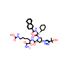 CC(C)(O)c1cn([C@H]2C[C@@H](C(=O)NC(CCCCNC(=O)O)C(=O)C(N)=O)N(C(=O)[C@@H](CC3CCCCC3)NC(=O)c3ccc4ccccc4c3)C2)nn1